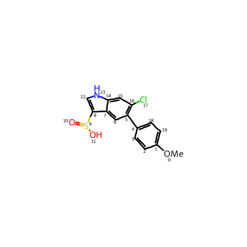 COc1ccc(-c2cc3c(S(=O)O)c[nH]c3cc2Cl)cc1